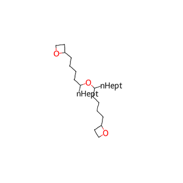 CCCCCCCC(CCCCC1CCO1)OC(CCCCCCC)CCCCC1CCO1